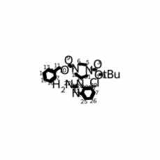 CC(C)(C)OC(=O)N1CCN(C(=O)OCc2ccccc2)CC(n2c(N)nc3cccc(Cl)c32)C1